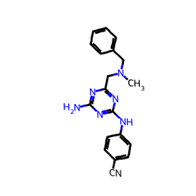 CN(Cc1ccccc1)Cc1nc(N)nc(Nc2ccc(C#N)cc2)n1